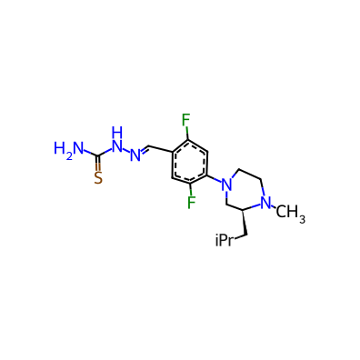 CC(C)C[C@H]1CN(c2cc(F)c(/C=N/NC(N)=S)cc2F)CCN1C